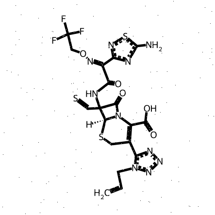 C=CCn1nnnc1C1=C(C(=O)O)N2C(=O)C(C=S)(NC(=O)C(=NOCC(F)(F)F)c3nsc(N)n3)[C@@H]2SC1